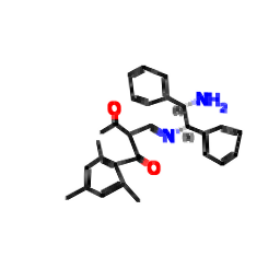 CC(=O)C(C=N[C@@H](c1ccccc1)[C@@H](N)c1ccccc1)C(=O)c1c(C)cc(C)cc1C